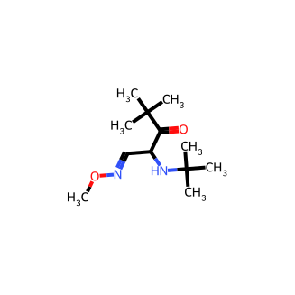 CON=CC(NC(C)(C)C)C(=O)C(C)(C)C